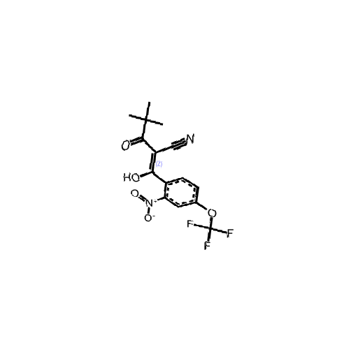 CC(C)(C)C(=O)/C(C#N)=C(\O)c1ccc(OC(F)(F)F)cc1[N+](=O)[O-]